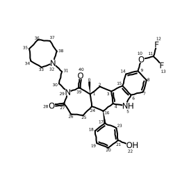 C[C@@]12Cc3c([nH]c4ccc(OC(F)F)cc34)[C@@H](c3cccc(O)c3)C1CCC(=O)N(CCN1CCCCCC1)C2=O